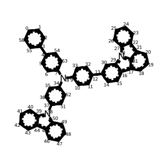 c1ccc(-c2ccc(N(c3ccc(-c4ccc5c6cccc7c8ccccc8n(c5c4)c76)cc3)c3ccc(-n4c5ccccc5c5ccccc54)cc3)cc2)cc1